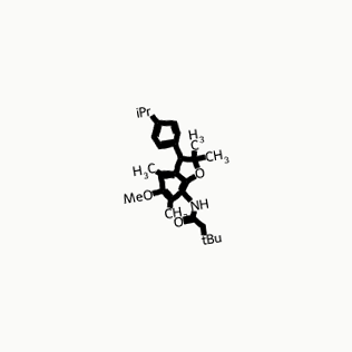 COc1c(C)c(NC(=O)CC(C)(C)C)c2c(c1C)C(c1ccc(C(C)C)cc1)C(C)(C)O2